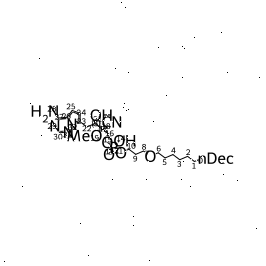 CCCCCCCCCCCCCCCCOCCCOP(=O)(O)OC[C@@](C#N)(OC)[C@@H](O)Cc1ccc2c(N)ncnn12